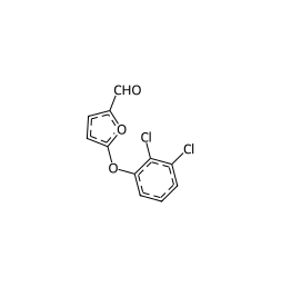 O=Cc1ccc(Oc2cccc(Cl)c2Cl)o1